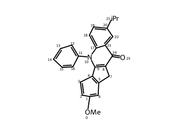 COc1ccc2c(c1)Cc1c-2n(-c2ccccc2)c2ccc(C(C)C)cc2c1=O